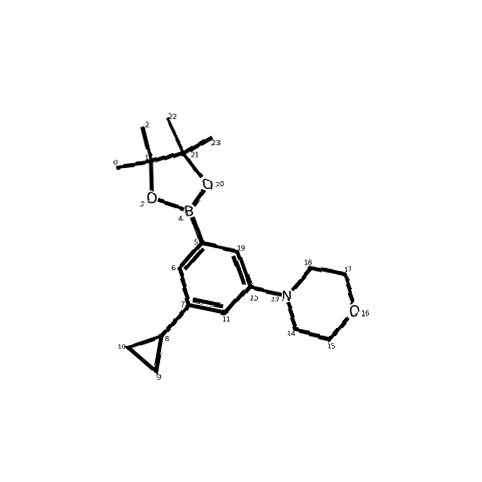 CC1(C)OB(c2cc(C3CC3)cc(N3CCOCC3)c2)OC1(C)C